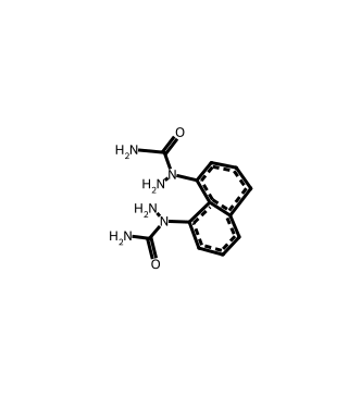 NC(=O)N(N)c1cccc2cccc(N(N)C(N)=O)c12